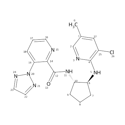 Cc1cnc(N[C@H]2CCC[C@@H]2NC(=O)c2ncccc2-n2nccn2)c(Cl)c1